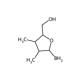 BC1OC(CO)C(C)C1C